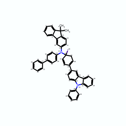 CC1(C)c2ccccc2-c2cc(N(c3ccc(-c4ccccc4)cc3)C3(I)C=CC(c4ccc5c(c4)c4ccccc4n5-c4ccccc4)=CC3)ccc21